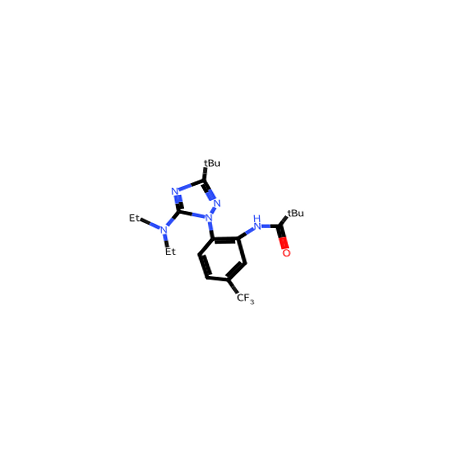 CCN(CC)c1nc(C(C)(C)C)nn1-c1ccc(C(F)(F)F)cc1NC(=O)C(C)(C)C